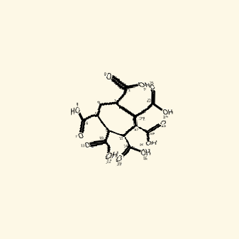 O=C(O)C1CC(C(=O)O)C(C(=O)O)[C@H](C(=O)O)[C@H](C(=O)O)C1C(=O)O